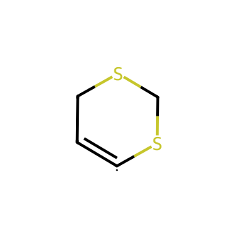 [C]1=CCSCS1